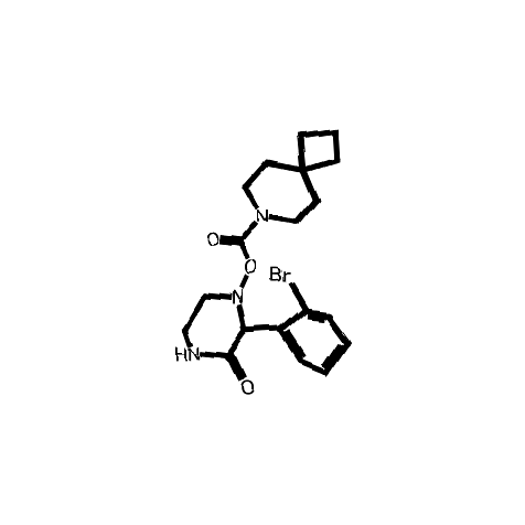 O=C1NCCN(OC(=O)N2CCC3(CCC3)CC2)C1c1ccccc1Br